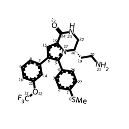 CSc1ccc(-c2c(-c3cccc(OC(F)(F)F)c3)cc3n2[C@@H](CCN)CNC3=O)cc1